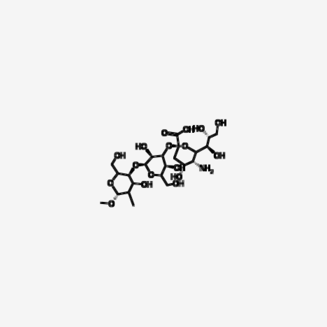 CO[C@@H]1OC(CO)[C@@H](O[C@@H]2OC(CO)[C@H](O)C(O[C@]3(C(=O)O)C[C@@H](O)[C@@H](N)C([C@H](O)[C@H](O)CO)O3)[C@@H]2O)C(O)C1C